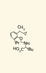 CCC(C)[C@H](NCOc1c(C(C)C)cccc1[C@H](C)C1CC1)C(=O)O